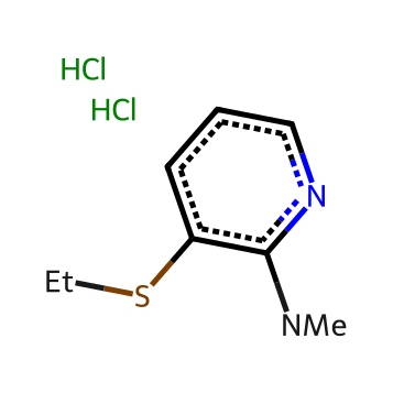 CCSc1cccnc1NC.Cl.Cl